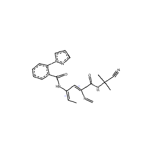 C=N/C(=C\C(=C/C)NC(=O)c1ccccc1-n1cccn1)C(=O)NC(C)(C)C#N